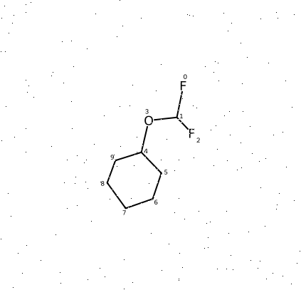 FC(F)O[C]1CCCCC1